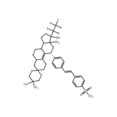 CC1(C)COC2(CCC3=C4C(CCC3C2)C2CCC(O)(C(F)(F)C(F)(F)F)C2(C)C[C@@H]4c2ccc(/C=C/c3ccc(S(C)(=O)=O)cc3)cc2)OC1